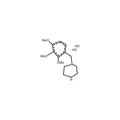 COc1ccc(CN2CCNCC2)c(OC)c1OC.Cl.Cl